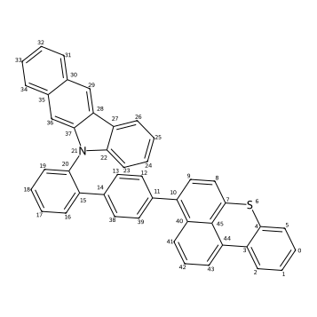 c1ccc2c(c1)Sc1ccc(-c3ccc(-c4ccccc4-n4c5ccccc5c5cc6ccccc6cc54)cc3)c3cccc-2c13